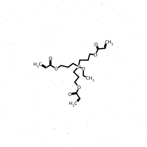 C=CC(=O)OCCC[Si](CCCOC(=O)C=C)(CCCOC(=O)C=C)OCC